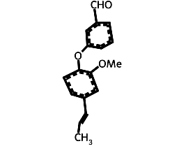 CC=Cc1ccc(Oc2cccc(C=O)c2)c(OC)c1